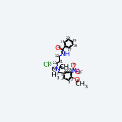 COc1ccc(C[N+](C)(C)CCCNC(=O)c2ccccc2)cc1[N+](=O)[O-].[Cl-]